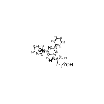 OC1CCC(n2ncc3c(N4CC5CCC(C4)O5)nc(-c4cc[c]cc4)nc32)CC1